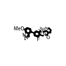 [2H]C1([2H])c2ncccc2C(=O)N1Cc1c(C)cc(-c2ccc(OC)c3nn(C)cc23)cc1F